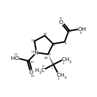 CC(C)(C)[C@H]1C(CC(=O)O)CCN1C(=O)O